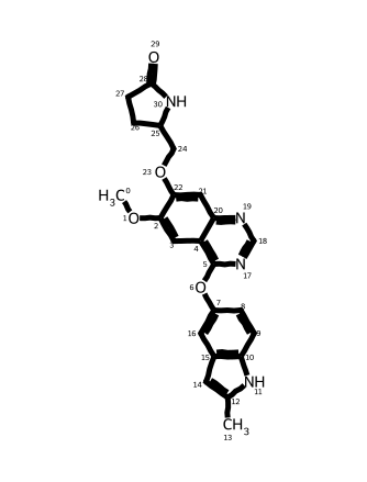 COc1cc2c(Oc3ccc4[nH]c(C)cc4c3)ncnc2cc1OCC1CCC(=O)N1